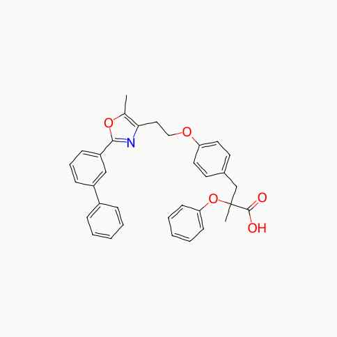 Cc1oc(-c2cccc(-c3ccccc3)c2)nc1CCOc1ccc(CC(C)(Oc2ccccc2)C(=O)O)cc1